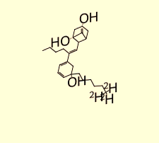 [2H]C([2H])([2H])CCCCCC1(O)C=CC=C(/C(=C/C2C3C[C@@H](O)C[C@@]2(O)C3=C)CCCC)C1